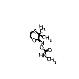 CNC(=O)ON=C1OCCSC1(C)C